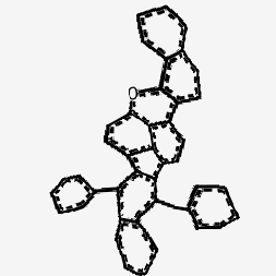 c1ccc(-c2c3ccccc3c(-c3ccccc3)c3c4ccc5c6ccc7ccccc7c6oc6ccc(c23)c4c65)cc1